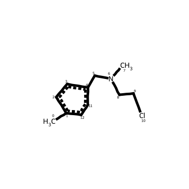 Cc1ccc(CN(C)CCCl)cc1